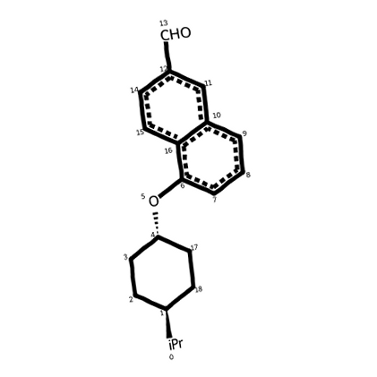 CC(C)[C@H]1CC[C@H](Oc2cccc3cc(C=O)ccc23)CC1